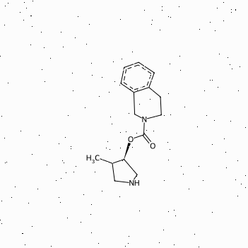 CC1CNC[C@@H]1OC(=O)N1CCc2ccccc2C1